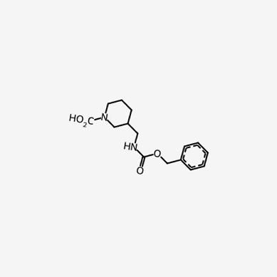 O=C(NCC1CCCN(C(=O)O)C1)OCc1ccccc1